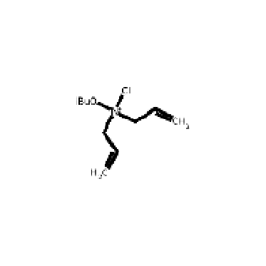 C=CC[N+](Cl)(CC=C)OCC(C)C